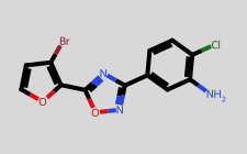 Nc1cc(-c2noc(-c3occc3Br)n2)ccc1Cl